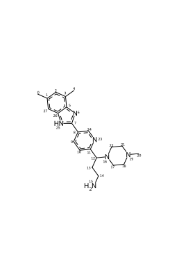 Cc1cc(C)c2nc(-c3ccc(C(CCN)N4CCN(C)CC4)nc3)[nH]c2c1